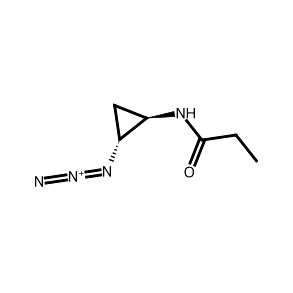 CCC(=O)N[C@@H]1C[C@H]1N=[N+]=[N-]